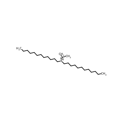 CCCCCCCCCCCC[SH](CCCCCCCCCCCC)[SnH]([CH3])[CH3]